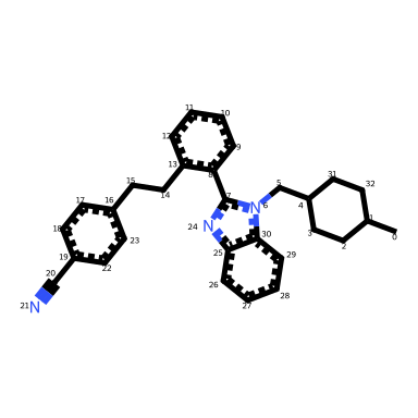 CC1CCC(Cn2c(-c3ccccc3CCc3ccc(C#N)cc3)nc3ccccc32)CC1